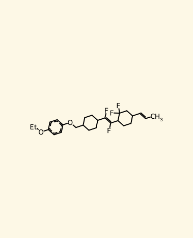 C/C=C/C1CCC(/C(F)=C(\F)C2CCC(COc3ccc(OCC)cc3)CC2)C(F)(F)C1